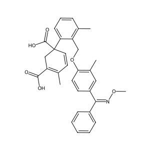 CON=C(c1ccccc1)c1ccc(OCc2c(C)cccc2C2(C(=O)O)C=CC(C)=C(C(=O)O)C2)c(C)c1